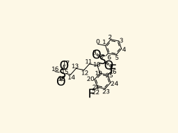 Cc1ccccc1S(=O)(=O)C(CCCCS(C)(=O)=O)c1cc(F)ccc1F